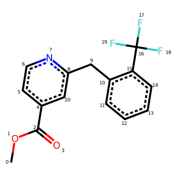 COC(=O)c1ccnc(Cc2ccccc2C(F)(F)F)c1